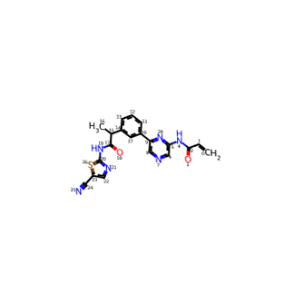 C=CC(=O)Nc1cncc(-c2cccc(C(C)C(=O)Nc3ncc(C#N)s3)c2)n1